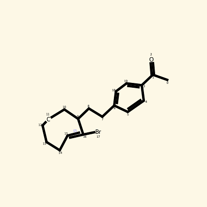 CC(=O)c1ccc(CCC2CCCCC/C=C/2Br)cc1